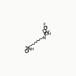 CC(C)[C@H]1c2ccc(F)cc2CC[C@]1(O)CCN(C)CCCCCCCCCCCc1nc2ccccc2[nH]1